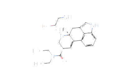 CCN(CC)C(=O)[C@@H]1C=C2c3cccc4[nH]cc(c34)C[C@H]2N(C)C1.NCCO